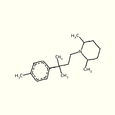 Cc1ccc(C(C)(C)CCN2C(C)CCCC2C)cc1